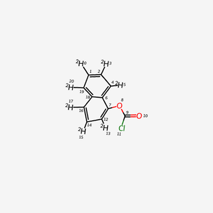 [2H]c1c([2H])c([2H])c2c(OC(=O)Cl)c([2H])c([2H])c([2H])c2c1[2H]